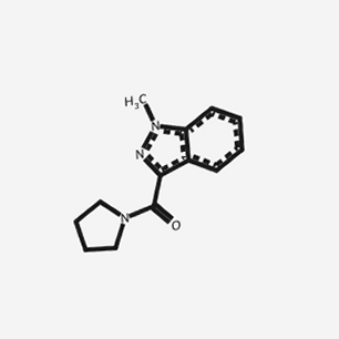 Cn1nc(C(=O)N2CCCC2)c2ccccc21